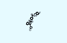 O=C1CCC(c2cn(S(=O)(=O)c3ccc(C(=O)NCc4ccc(F)cc4)cc3)c3ccccc23)C1